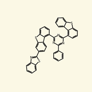 c1ccc(-c2nc(-c3cccc4sc5ccccc5c34)nc(-c3cccc4sc5cc(-c6nc7ccccc7s6)ccc5c34)n2)cc1